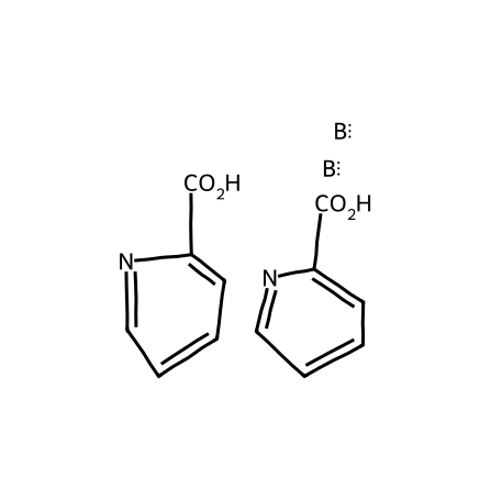 O=C(O)c1ccccn1.O=C(O)c1ccccn1.[B].[B]